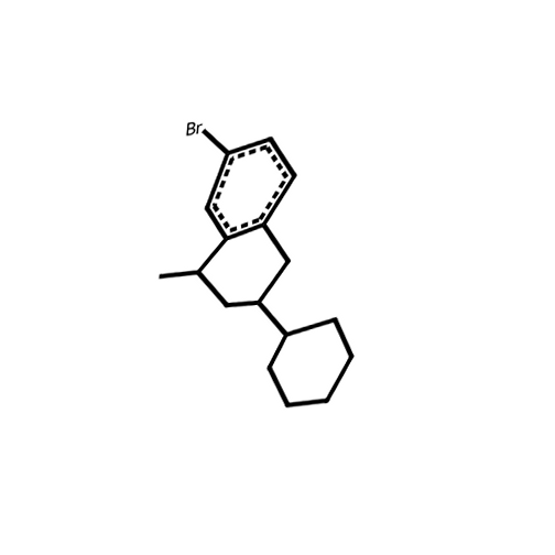 CC1CC(C2CCCCC2)Cc2ccc(Br)cc21